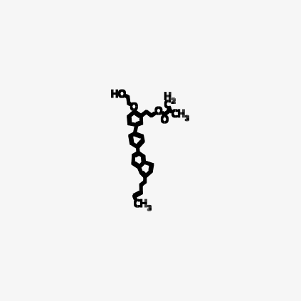 C=C(C)C(=O)OCCc1cc(-c2ccc(-c3ccc4cc(CC/C=C/C)ccc4c3)cc2)ccc1OCCO